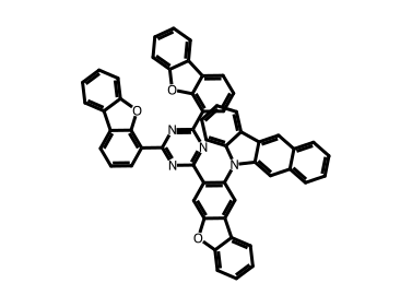 c1ccc2cc3c(cc2c1)c1ccccc1n3-c1cc2c(cc1-c1nc(-c3cccc4c3oc3ccccc34)nc(-c3cccc4c3oc3ccccc34)n1)oc1ccccc12